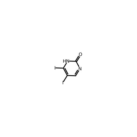 O=c1ncc(I)c(I)[nH]1